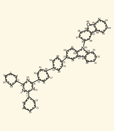 c1ccc(-c2nc(-c3ccccc3)nc(-c3ccc(-c4ccc(-c5ccc6c(c5)c5ccccc5n6-c5ccc6oc7ccccc7c6c5)cc4)cc3)n2)cc1